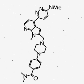 CNc1ccc(-c2ccnc3c2cc(CN2CCN(c4ccc(C(=O)N(C)C)cc4)CC2)n3C)nn1